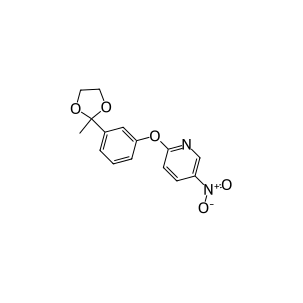 CC1(c2cccc(Oc3ccc([N+](=O)[O-])cn3)c2)OCCO1